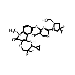 Cn1c(=O)c2c(c3cc(Nc4nc(N5CC(F)(F)C[C@@H]5CO)ncc4Cl)ccc31)NC(C1CC1)C(F)(F)CO2